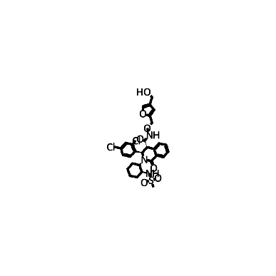 CS(=O)(=O)N[C@H]1CCCC[C@@H]1N1C(=O)c2ccccc2[C@@H](C(=O)NOCc2cc(CO)co2)[C@@H]1c1ccc(Cl)cc1Cl